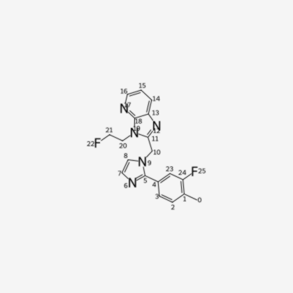 Cc1ccc(-c2nccn2Cc2nc3cccnc3n2CCF)cc1F